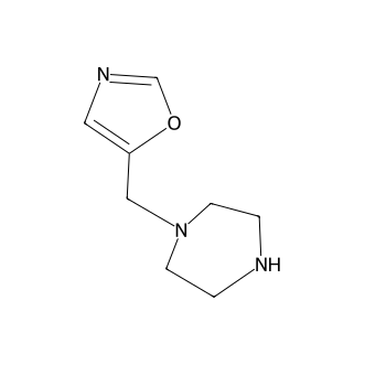 c1ncc(CN2CCNCC2)o1